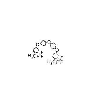 Cc1ccc(Oc2ccc(OC3CCC(O[C@@H]4CCC(C)C(C(F)(F)F)C4)CC3)cc2)cc1C(F)(F)F